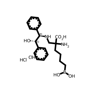 Cl.Cl.NC(CCCCB(O)O)(CN[C@H](c1ccccc1)[C@@H](O)c1ccccc1)C(=O)O